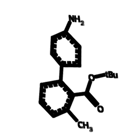 Cc1cccc(-c2ccc(N)cc2)c1C(=O)OC(C)(C)C